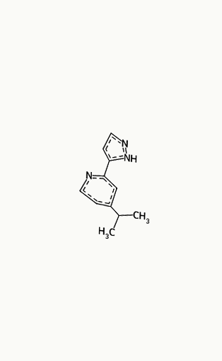 CC(C)c1ccnc(-c2ccn[nH]2)c1